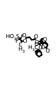 CC(OC(=O)CCC(=O)OC1C2OC(=O)C3C2OC1C3C(=O)OC1(C)CC2CCC1C2)C(F)(F)S(=O)(=O)O